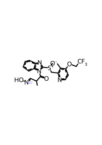 Cc1c(OCC(F)(F)F)ccnc1C[S+]([O-])c1nc2ccccc2n1C(=O)C(C)/C=N/O